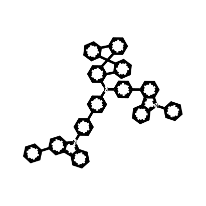 c1ccc(-c2ccc3c(c2)c2ccccc2n3-c2ccc(-c3ccc(N(c4ccc(-c5cccc6c5c5ccccc5n6-c5ccccc5)cc4)c4cccc5c4-c4ccccc4C54c5ccccc5-c5ccccc54)cc3)cc2)cc1